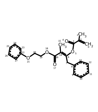 C=C(C)C(=O)OC(Cc1ccccc1)=C(C)C(=O)OCCOc1ccccc1